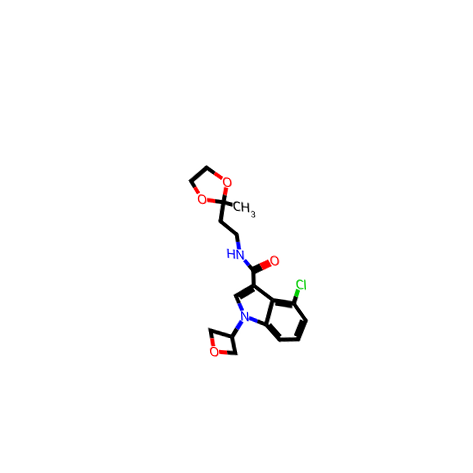 CC1(CCNC(=O)c2cn(C3COC3)c3cccc(Cl)c23)OCCO1